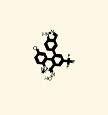 COc1ccc(Cl)cc1-c1c(C(N)=NO)cc(C(F)(F)F)cc1-c1ccc2[nH]ncc2c1